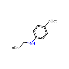 CCCCCCCCCCCNc1ccc(CCCCCCCC)cc1